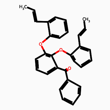 CC=Cc1ccccc1Oc1cccc(C(=O)c2ccccc2)c1Oc1ccccc1C=CC